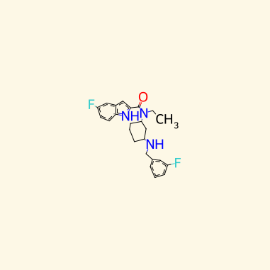 CCN(C(=O)c1cc2cc(F)ccc2[nH]1)[C@H]1CCC[C@@H](NCc2cccc(F)c2)C1